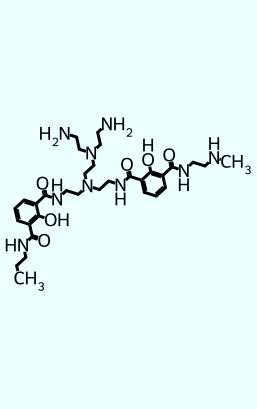 CCCNC(=O)c1cccc(C(=O)NCCN(CCNC(=O)c2cccc(C(=O)NCCNC)c2O)CCN(CCN)CCN)c1O